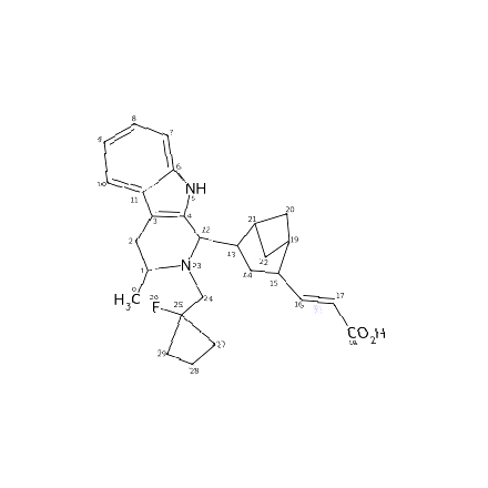 CC1Cc2c([nH]c3ccccc23)C(C2CC(/C=C/C(=O)O)C3CC2C3)N1CC1(F)CCC1